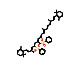 CC1=C(/C=C/C(C)=C/C=C/C(C)=C/C=C/C=C(/CC(/C=C(C)/C=C/C2=C(C)CCCC2(C)C)S(=O)(=O)c2ccccc2)CS(=O)(=O)c2ccccc2)C(C)(C)CCC1